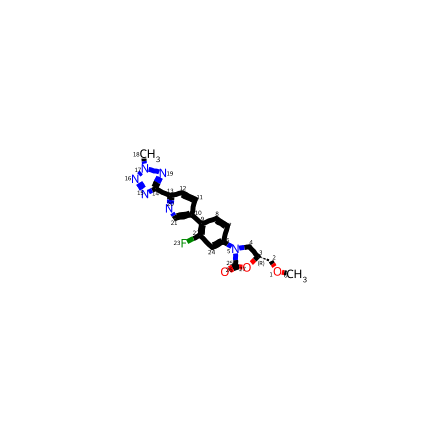 COC[C@H]1CN(c2ccc(-c3ccc(-c4nnn(C)n4)nc3)c(F)c2)C(=O)O1